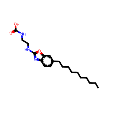 CCCCCCCCCCc1ccc2nc(NCCNC(=O)O)oc2c1